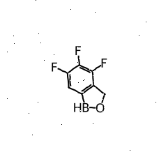 Fc1cc2c(c(F)c1F)COB2